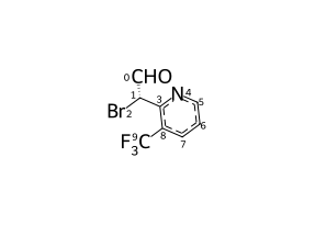 O=C[C@@H](Br)c1ncccc1C(F)(F)F